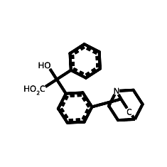 O=C(O)C(O)(c1ccccc1)c1cccc(C2CC3CCN2CC3)c1